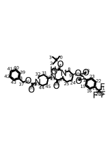 CC(C)(C)OC(=O)N1C[C@@H](OS(=O)(=O)c2ccc(C(F)(F)F)cc2)CCC1C(=O)NC1CCN(C(=O)OCc2ccccc2)CC1